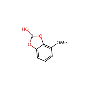 COc1cccc2c1OB(O)O2